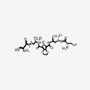 CCOC(=O)C(CSSC(=O)[C@@H](N)CS)NC(=O)c1[nH]c(C(=O)NC(CSSC(=O)[C@@H](N)CS)C(=O)OCC)c2c1OCCO2